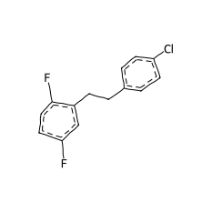 Fc1ccc(F)c(CCc2ccc(Cl)cc2)c1